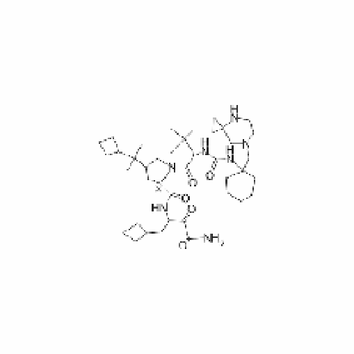 CC(C)(C)C(NC(=O)NC1(CN2CCNC3(CC3)C2)CCCCC1)C(=O)N1CC(C(C)(C)C2CCC2)C[C@H]1C(=O)NC(CC1CCC1)C(=O)C(N)=O